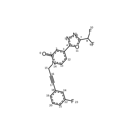 O=c1cc(-c2nnc(C(F)F)o2)ccn1CC#Cc1cccc(F)c1